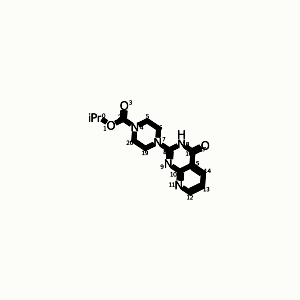 CC(C)OC(=O)N1CCN(c2nc3ncccc3c(=O)[nH]2)CC1